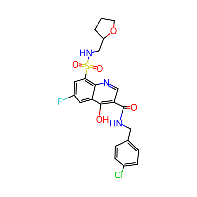 O=C(NCc1ccc(Cl)cc1)c1cnc2c(S(=O)(=O)NCC3CCCO3)cc(F)cc2c1O